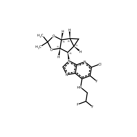 CC1(C)O[C@@H]2[C@@H]3C[C@@H]3[C@@H](n3cnc4c(NCC(F)F)c(F)c(Cl)nc43)[C@@H]2O1